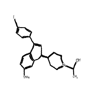 COc1ccc2c(c1)C(C1CCN(C(C)O)CC1)C=C2c1ccc(F)cc1